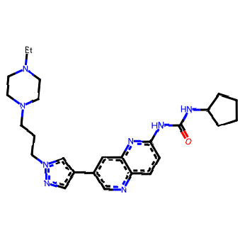 CCN1CCN(CCCn2cc(-c3cnc4ccc(NC(=O)NC5CCCC5)nc4c3)cn2)CC1